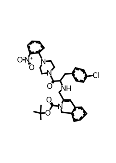 CC(C)(C)OC(=O)N1Cc2ccccc2C=C1CNC(Cc1ccc(Cl)cc1)C(=O)N1CCN(c2ccccc2[N+](=O)[O-])CC1